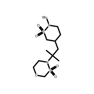 CC(C)(C)N1CCC(CC(C)(C)N2CCOCS2(=O)=O)CS1(=O)=O